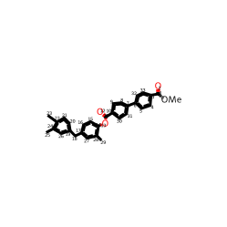 COC(=O)c1ccc(-c2ccc(C(=O)Oc3ccc(Cc4ccc(C)c(C)c4)cc3C)cc2)cc1